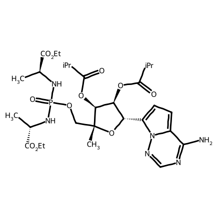 CCOC(=O)[C@H](C)NP(=O)(N[C@@H](C)C(=O)OCC)OC[C@@]1(C)O[C@@H](c2ccc3c(N)ncnn23)[C@H](OC(=O)C(C)C)[C@@H]1OC(=O)C(C)C